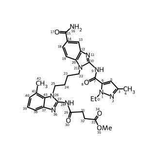 CCn1nc(C)cc1C(=O)Nc1nc2cc(C(N)=O)ccc2n1CCCCn1c(NC(=O)CCC(=O)OC)nc2cccc(C)c21